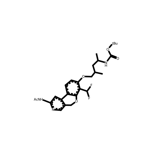 CC(=O)Nc1cc2c(cn1)COc1c-2ccc(OCC(C)CC(C)NC(=O)OC(C)(C)C)c1C(F)F